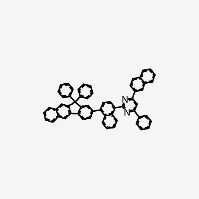 c1ccc(-c2cc(-c3ccc4ccccc4c3)nc(-c3ccc(-c4ccc5c(c4)C(c4ccccc4)(c4ccccc4)c4cc6ccccc6cc4-5)c4ccccc34)n2)cc1